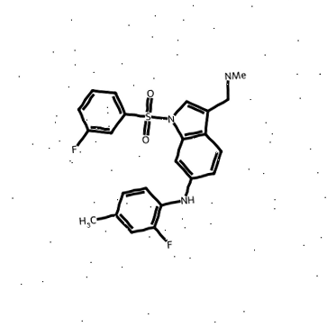 CNCc1cn(S(=O)(=O)c2cccc(F)c2)c2cc(Nc3ccc(C)cc3F)ccc12